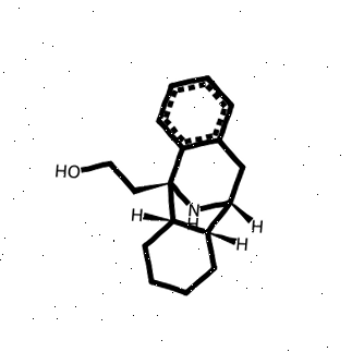 OCC[C@]12N[C@H](Cc3ccccc31)[C@@H]1CCCC[C@@H]12